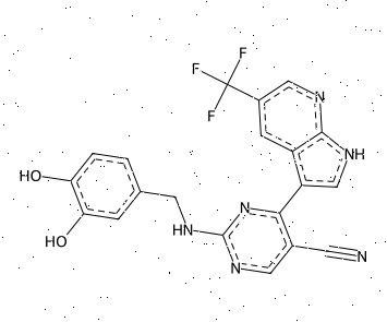 N#Cc1cnc(NCc2ccc(O)c(O)c2)nc1-c1c[nH]c2ncc(C(F)(F)F)cc12